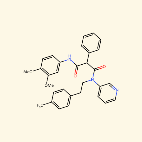 COc1ccc(NC(=O)C(C(=O)N(CCc2ccc(C(F)(F)F)cc2)c2cccnc2)c2ccccc2)cc1OC